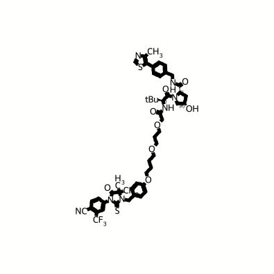 Cc1ncsc1-c1ccc(CNC(=O)[C@@H]2C[C@@H](O)CN2C(=O)[C@@H](NC(=O)COCCCOCCCCOc2ccc(CN3C(=S)N(c4ccc(C#N)c(C(F)(F)F)c4)C(=O)C3(C)C)cc2)C(C)(C)C)cc1